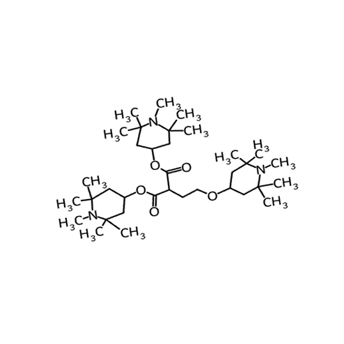 CN1C(C)(C)CC(OCCC(C(=O)OC2CC(C)(C)N(C)C(C)(C)C2)C(=O)OC2CC(C)(C)N(C)C(C)(C)C2)CC1(C)C